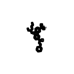 CCCCC(CC)Cn1c2ccc(C(=O)CCC3CCCCC3)cc2c2cc([N+](=O)[O-])ccc21